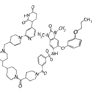 CCCOc1cccc(Oc2cc3c(cc2NS(=O)(=O)c2cccc(C(=O)N4CCC(C(=O)N5CCC(CC6CCN(CC7CCN(c8cc(C9CCC(=O)NC9=O)ccn8)CC7)CC6)CC5)CC4)c2)n(C)c(=O)n3C)c1